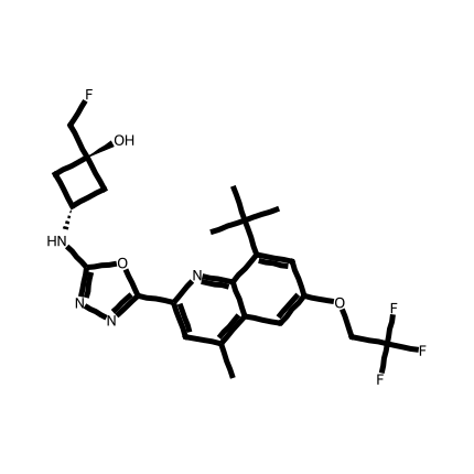 Cc1cc(-c2nnc(N[C@H]3C[C@@](O)(CF)C3)o2)nc2c(C(C)(C)C)cc(OCC(F)(F)F)cc12